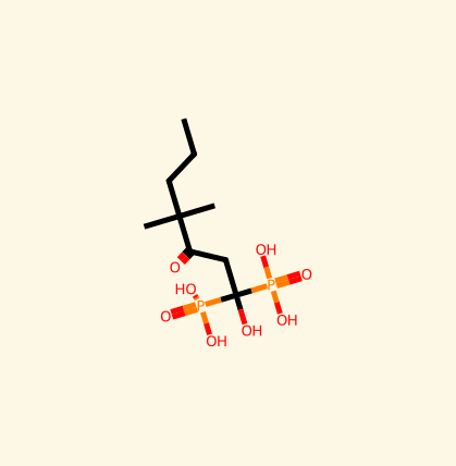 CCCC(C)(C)C(=O)CC(O)(P(=O)(O)O)P(=O)(O)O